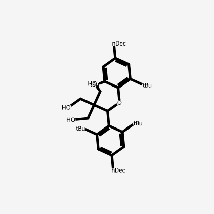 CCCCCCCCCCc1cc(C(C)(C)C)c(OC(c2c(C(C)(C)C)cc(CCCCCCCCCC)cc2C(C)(C)C)C(CO)(CO)CO)c(C(C)(C)C)c1